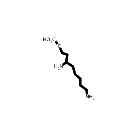 NCCCCCC(N)CCCC(=O)O